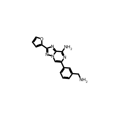 NCc1cccc(-c2cn3nc(-c4ccco4)nc3c(N)n2)c1